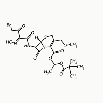 COCC1=C(C(=O)OC(C)OC(=O)C(C)(C)C)N2C(=O)C(NC(=O)C(=NO)C(=O)CBr)[C@@H]2SC1